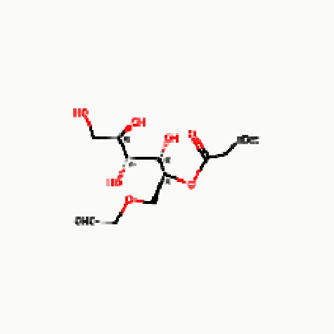 CCCCCCCCCCCC(=O)O[C@@H](COCC=O)[C@@H](O)[C@H](O)[C@H](O)CO